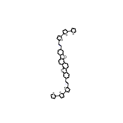 C(=C\c1ccc(-c2ccc(-c3cccs3)s2)s1)/c1ccc2c(c1)oc1c2ccc2c1ccc1c3ccc(/C=C/c4ccc(-c5ccc(-c6cccs6)s5)s4)cc3sc12